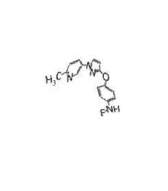 Cc1ccc(-n2ccc(Oc3ccc(NF)cc3)n2)cn1